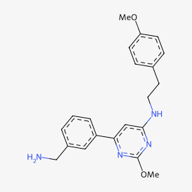 COc1ccc(CCNc2cc(-c3cccc(CN)c3)nc(OC)n2)cc1